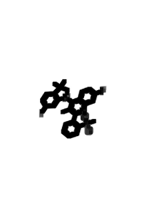 Cc1c(-c2ccccc2S(C)(=O)=O)nc2cc(F)ccc2c1N1CC(C)(C)c2ccc(I)cc21